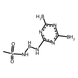 Bc1nc(B)nc(NBNS(C)(=O)=O)n1